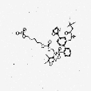 Cc1onc(N(COC(=O)OCCCCCO[N+](=O)[O-])S(=O)(=O)c2ccccc2-c2ccc(-c3ncco3)cc2CN(C)C(=O)CC(C)(C)C)c1C